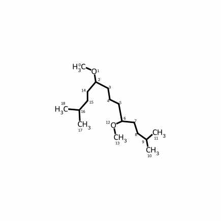 COC(CCCC(CCC(C)C)OC)CCC(C)C